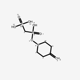 C=C1CCN(OP(=O)(O)CP(=O)(O)O)CC1